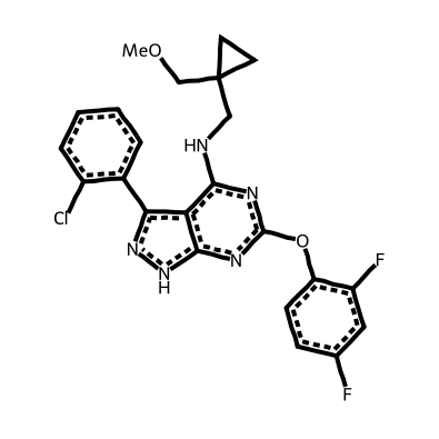 COCC1(CNc2nc(Oc3ccc(F)cc3F)nc3[nH]nc(-c4ccccc4Cl)c23)CC1